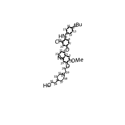 COc1cc2c(Oc3ccc(Nc4ccc(C(C)(C)C)cc4)c(Cl)c3)ccnc2cc1OCCN1CCC(CCO)CC1